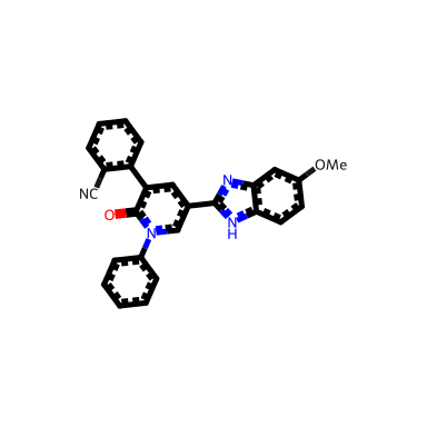 COc1ccc2[nH]c(-c3cc(-c4ccccc4C#N)c(=O)n(-c4ccccc4)c3)nc2c1